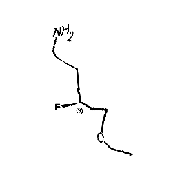 COC[C@@H](F)CCN